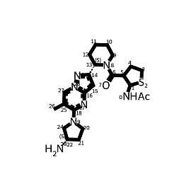 CC(=O)NC1SCCC1C(=O)N1CCCC[C@H]1c1cc2nc(N3CC[C@H](N)C3)c(C)cn2n1